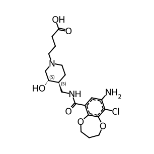 Nc1cc(C(=O)NC[C@@H]2CCN(CCCC(=O)O)C[C@H]2O)c2c(c1Cl)OCCCO2